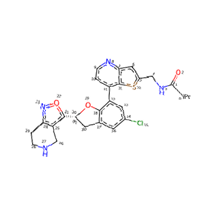 CC(C)C(=O)NCc1cc2nccc(-c3cc(Cl)cc4c3O[C@@H](c3onc5c3CNCC5)C4)c2s1